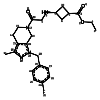 CCOC(=O)[C@H]1C[C@@H](NCC(=O)N2CCc3c(C)nn(Cc4ccc(F)cc4)c3C2)C1